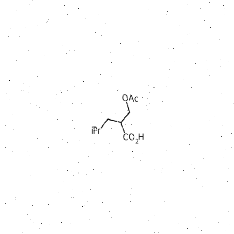 CC(=O)OCC(CC(C)C)C(=O)O